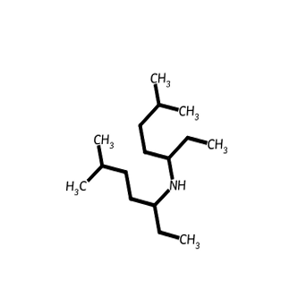 CCC(CCC(C)C)NC(CC)CCC(C)C